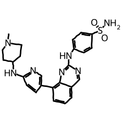 CN1CCC(Nc2ccc(-c3cccc4cnc(Nc5ccc(S(N)(=O)=O)cc5)nc34)cn2)CC1